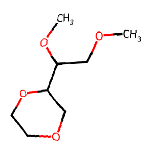 COCC(OC)C1COCCO1